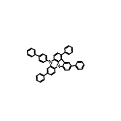 c1ccc(-c2ccc(N3c4cc(-c5ccccc5)ccc4-n4c5ccc(-c6ccccc6)cc5c5c(-c6ccccc6)ccc3c54)cc2)cc1